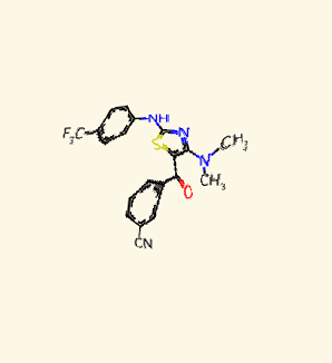 CN(C)c1nc(Nc2ccc(C(F)(F)F)cc2)sc1C(=O)c1cccc(C#N)c1